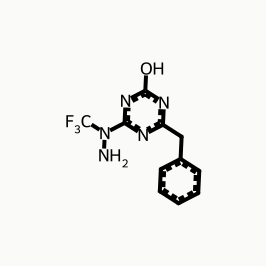 NN(c1nc(O)nc(Cc2ccccc2)n1)C(F)(F)F